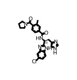 Cc1cc(C(=O)N[C@@H](Cc2c[nH]cn2)c2nc3cc(Cl)ccc3[nH]2)ccc1C(=O)N1CCCC1